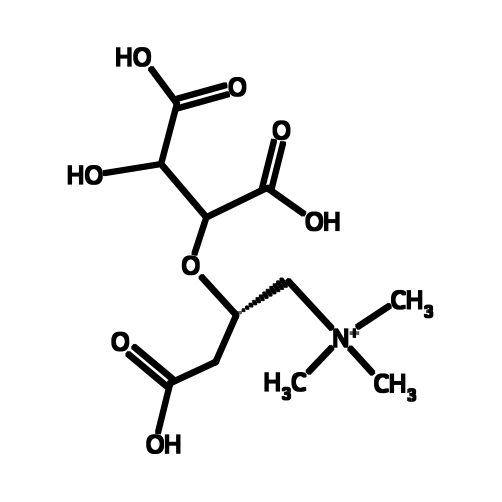 C[N+](C)(C)C[C@H](CC(=O)O)OC(C(=O)O)C(O)C(=O)O